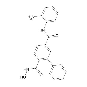 Nc1ccccc1NC(=O)c1ccc(C(=O)NO)c(-c2ccccc2)c1